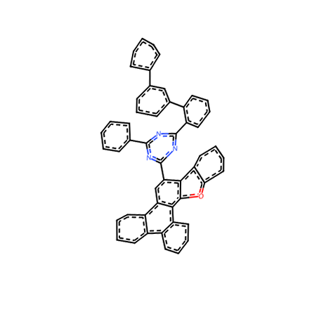 c1ccc(-c2cccc(-c3ccccc3-c3nc(-c4ccccc4)nc(-c4cc5c6ccccc6c6ccccc6c5c5oc6ccccc6c45)n3)c2)cc1